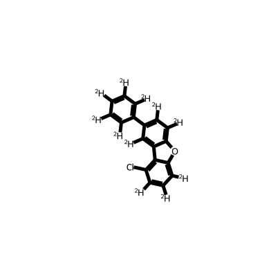 [2H]c1c([2H])c([2H])c(-c2c([2H])c([2H])c3oc4c([2H])c([2H])c([2H])c(Cl)c4c3c2[2H])c([2H])c1[2H]